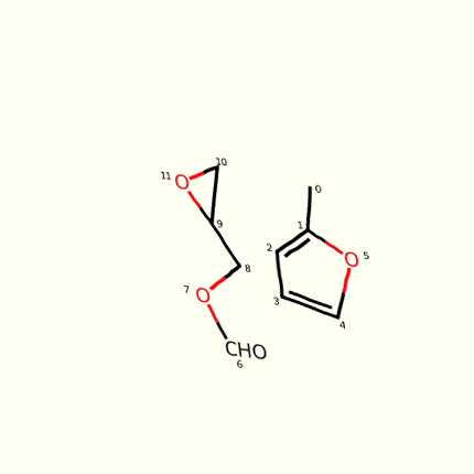 Cc1ccco1.O=COCC1CO1